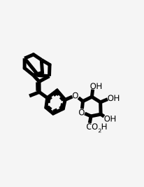 CC(=C1C2CC3CC(C2)CC1C3)c1cccc(OC2OC(C(=O)O)C(O)C(O)C2O)c1